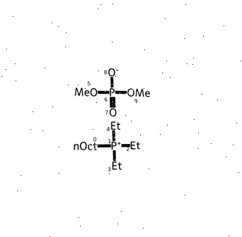 CCCCCCCC[P+](CC)(CC)CC.COP(=O)([O-])OC